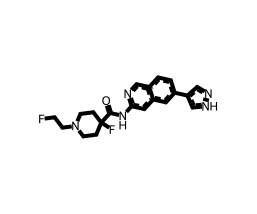 O=C(Nc1cc2cc(-c3cn[nH]c3)ccc2cn1)C1(F)CCN(CCF)CC1